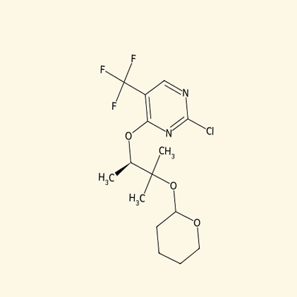 C[C@@H](Oc1nc(Cl)ncc1C(F)(F)F)C(C)(C)OC1CCCCO1